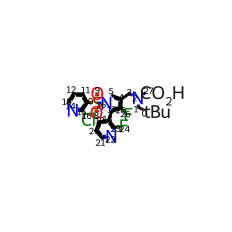 CC(C)(C)CN(Cc1cn(S(=O)(=O)c2cccnc2Cl)c(-c2cccnc2F)c1F)C(=O)O